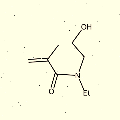 C=C(C)C(=O)N(CC)CCO